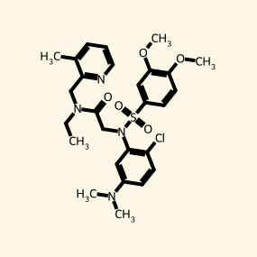 CCN(Cc1ncccc1C)C(=O)CN(c1cc(N(C)C)ccc1Cl)S(=O)(=O)c1ccc(OC)c(OC)c1